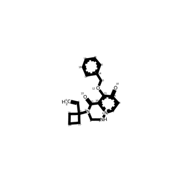 C=CC1(N2CNn3ccc(=O)c(OCc4ccccc4)c3C2=O)CCC1